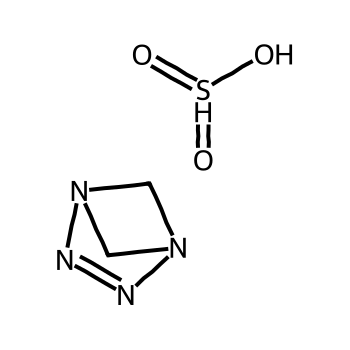 C1N2CN1N=N2.O=[SH](=O)O